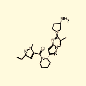 CCc1cc(C(=O)N2CCCC[C@H]2c2cc3nc(N4CC[C@H](N)C4)c(C)cn3n2)n(C)n1